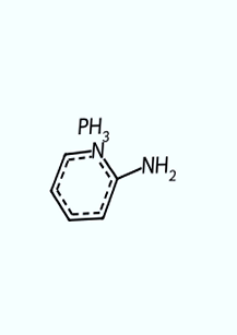 Nc1ccccn1.P